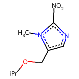 CC(C)OCc1cnc([N+](=O)[O-])n1C